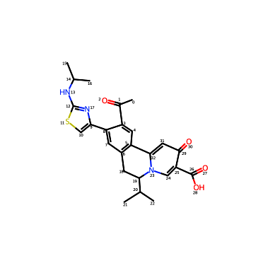 CC(=O)c1cc2c(cc1-c1csc(NC(C)C)n1)CC(C(C)C)n1cc(C(=O)O)c(=O)cc1-2